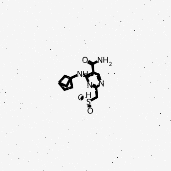 NC(=O)c1cnc(C[SH](=O)=O)nc1NC12CCC(C1)C2